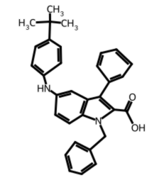 CC(C)(C)c1ccc(Nc2ccc3c(c2)c(-c2ccccc2)c(C(=O)O)n3Cc2ccccc2)cc1